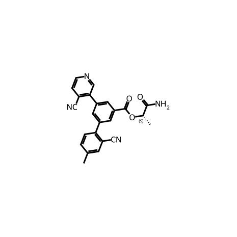 Cc1ccc(-c2cc(C(=O)O[C@@H](C)C(N)=O)cc(-c3cnccc3C#N)c2)c(C#N)c1